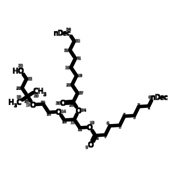 CCCCCCCCCCCCCCCCCC(=O)OCC(COCCOC(C)(C)CCO)OC(=O)CCCCCCCCCCCCCCCCC